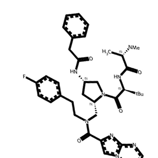 CN[C@@H](C)C(=O)N[C@H](C(=O)N1C[C@@H](NC(=O)Cc2ccccc2)C[C@H]1CN(CCc1ccc(F)cc1)C(=O)c1cn2cccnc2n1)C(C)(C)C